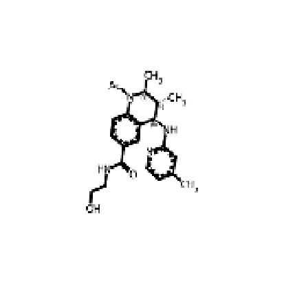 CC(=O)N1c2ccc(C(=O)NCCO)cc2[C@H](Nc2cc(C)ccn2)[C@@H](C)[C@@H]1C